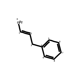 CCCC=CCc1cc[c]cc1